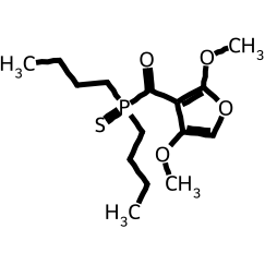 CCCCP(=S)(CCCC)C(=O)c1c(OC)coc1OC